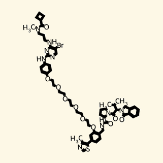 Cc1ncsc1-c1ccc(CNC(=O)[C@@H]2CCCN2C(=O)C(C(C)C)N2Cc3ccccc3C2=O)c(OCCOCCOCCOCCOCCOc2ccc(Nc3ncc(Br)c(NCCCN(C)C(=O)C4CCC4)n3)cc2)c1